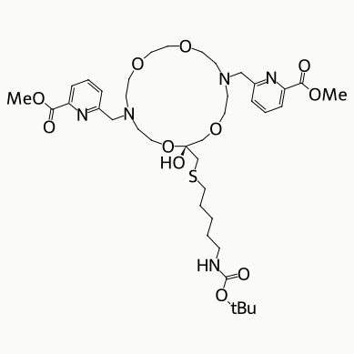 COC(=O)c1cccc(CN2CCOCCOCCN(Cc3cccc(C(=O)OC)n3)CCO[C@@](O)(CSCCCCCNC(=O)OC(C)(C)C)COCC2)n1